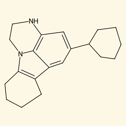 c1c(C2CCCCC2)cc2c3c(n4c2c1NCC4)CCCC3